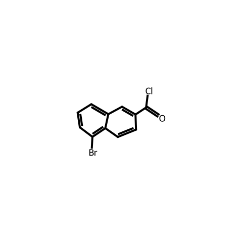 O=C(Cl)c1ccc2c(Br)cccc2c1